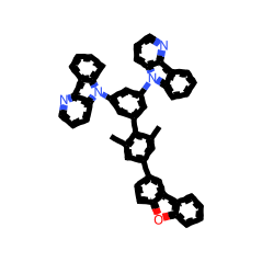 Cc1cc(-c2ccc3oc4ccccc4c3c2)cc(C)c1-c1cc(-n2c3ccccc3c3ncccc32)cc(-n2c3ccccc3c3ncccc32)c1